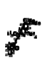 [2H]C1(C(=O)NCCCN(C)c2nc(N)c3cc(OC)c(OC)cc3n2)CCCO1